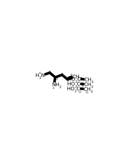 C=CCC(N)CN.CC(=O)O.CC(=O)O.CC(=O)O